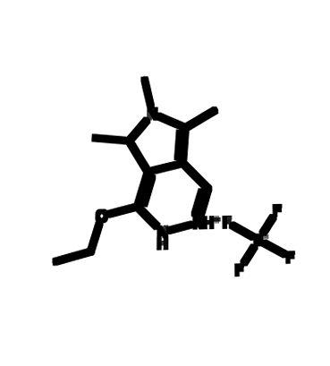 CCOC1=C2C(=C(C)N(C)C2C)C=[NH+]N1.F[B-](F)(F)F